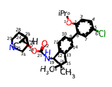 CC(C)Oc1ccc(Cl)cc1-c1ccc2c(c1)CC(C)(C)C2NC(=O)O[C@H]1CN2CCC1CC2